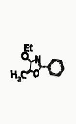 C=C1OC(c2ccccc2)=NC1OCC